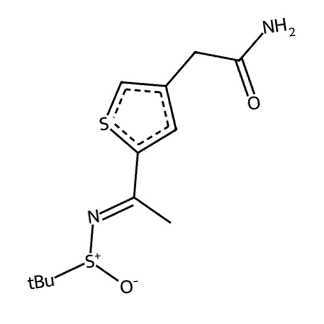 C/C(=N\[S+]([O-])C(C)(C)C)c1cc(CC(N)=O)cs1